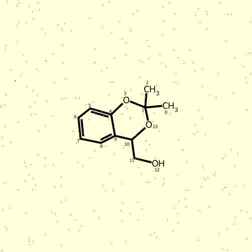 CC1(C)Oc2ccccc2C(CO)O1